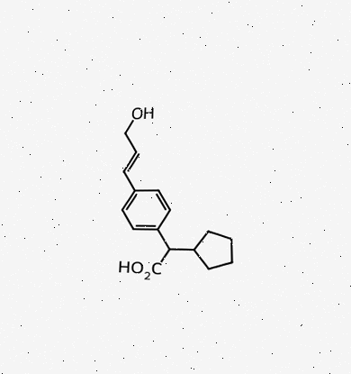 O=C(O)C(c1ccc(C=CCO)cc1)C1CCCC1